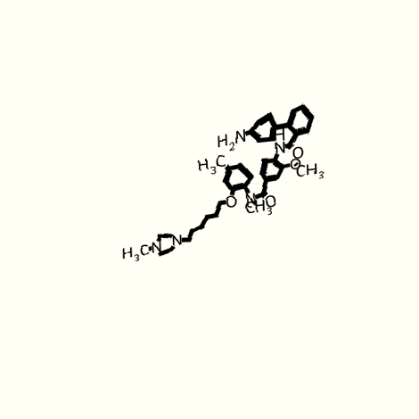 COc1cc(C(=O)N(C)c2ccc(C)cc2OCCCCCCN2CCN(C)CC2)ccc1NC(=O)c1ccccc1-c1ccc(N)cc1